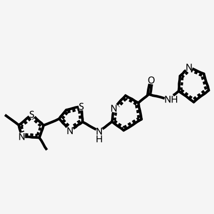 Cc1nc(C)c(-c2csc(Nc3ccc(C(=O)Nc4cccnc4)cn3)n2)s1